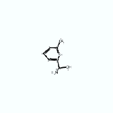 NC(O)c1cccc(C(F)(F)F)n1